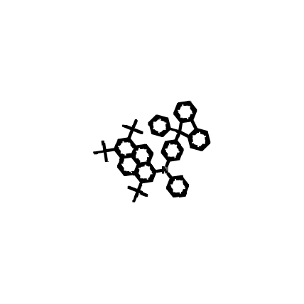 CC(C)(C)c1cc(N(c2ccccc2)c2ccc(C3(c4ccccc4)c4ccccc4-c4ccccc43)cc2)c2ccc3c(C(C)(C)C)cc(C(C)(C)C)c4ccc1c2c34